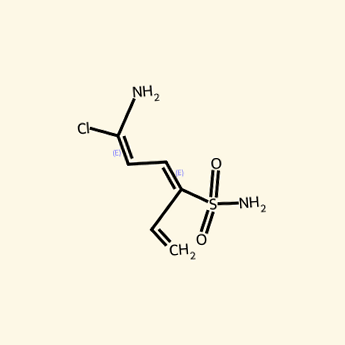 C=C/C(=C\C=C(/N)Cl)S(N)(=O)=O